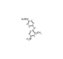 CC(=O)Nc1ccc(Sc2ccc(N)cc2C)cc1